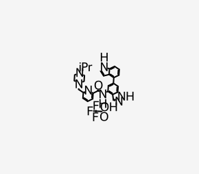 CC(C)N1CCN(Cc2cccc(C(=O)Nc3cc(-c4cccc5[nH]ccc45)cc4[nH]ncc34)n2)CC1.O=C(O)C(F)(F)F